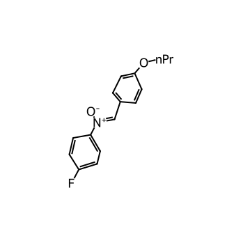 CCCOc1ccc(C=[N+]([O-])c2ccc(F)cc2)cc1